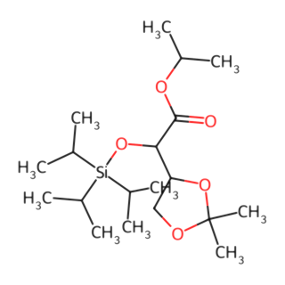 CC(C)OC(=O)C(O[Si](C(C)C)(C(C)C)C(C)C)C1COC(C)(C)O1